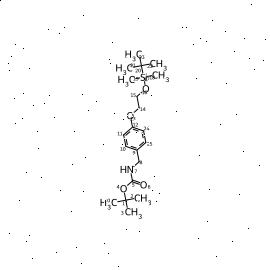 CC(C)(C)OC(=O)NCc1ccc(OCCO[Si](C)(C)C(C)(C)C)cc1